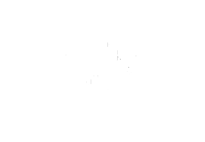 CCOC(=O)CC(N[S@+]([O-])C(C)(C)C)c1cc(-c2c(Cl)cccc2Cl)cc(C)c1F